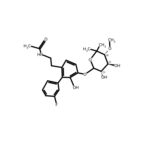 CO[C@@H]1[C@@H](O)[C@H](O)C(Oc2ccc(CCNC(C)=O)c(-c3cccc(F)c3)c2O)OC1(C)C